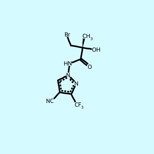 C[C@](O)(CBr)C(=O)Nn1cc(C#N)c(C(F)(F)F)n1